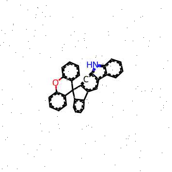 c1ccc2c(c1)Oc1ccccc1C21c2ccccc2-c2cc3c(cc21)[nH]c1ccccc13